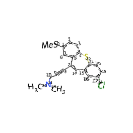 CSc1ccc2c(c1)C(C#CCN(C)C)=Cc1cc(Cl)ccc1S2